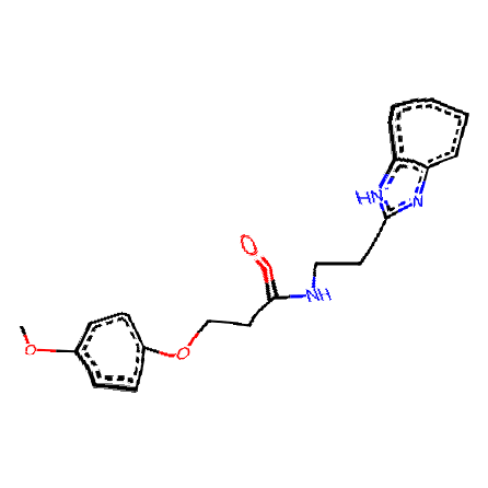 COc1ccc(OCCC(=O)NCCc2nc3ccccc3[nH]2)cc1